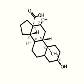 C[C@]12CC[C@@H](O)CC1CC[C@H]1[C@@H]3CCC[C@@]3(C(=O)O)[C@@H](O)C[C@@H]12